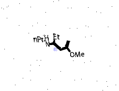 C=C(/C=C(\CC)NCCC)OC